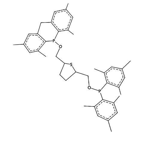 Cc1cc(C)c(P(OCC2CCC(COP3c4c(C)cc(C)cc4Cc4cc(C)cc(C)c43)S2)c2c(C)cc(C)cc2C)c(C)c1